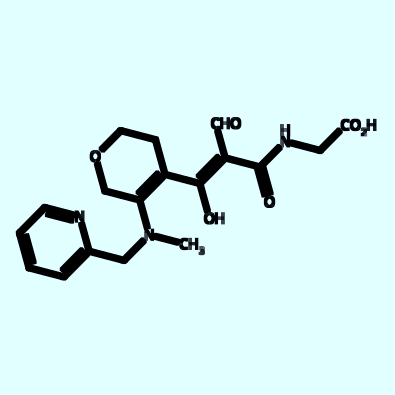 CN(Cc1ccccn1)C1=C(/C(O)=C(\C=O)C(=O)NCC(=O)O)CCOC1